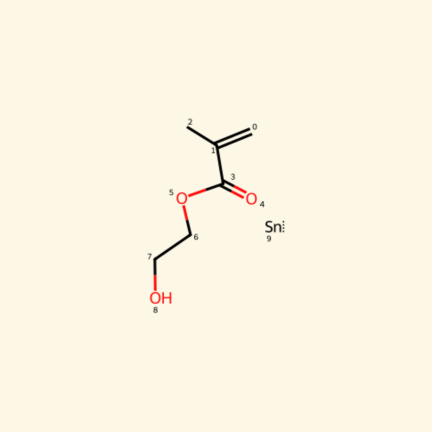 C=C(C)C(=O)OCCO.[Sn]